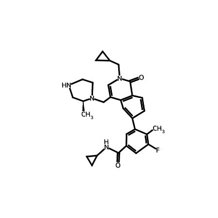 Cc1c(F)cc(C(=O)NC2CC2)cc1-c1ccc2c(=O)n(CC3CC3)cc(CN3CCNC[C@@H]3C)c2c1